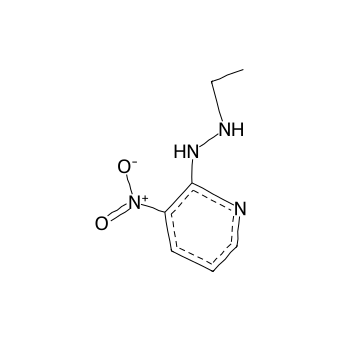 CCNNc1ncccc1[N+](=O)[O-]